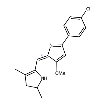 COC1=CC(c2ccc(Cl)cc2)=N/C1=C/C1=C(C)CC(C)N1